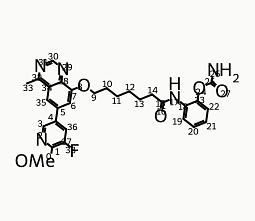 COc1ncc(-c2cc(OCCCCCCC(=O)Nc3ccccc3OC(N)=O)c3ncnc(C)c3c2)cc1F